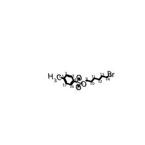 Cc1ccc(S(=O)(=O)OCCCCCCBr)cc1